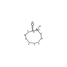 CN1CCCCCCCCC1=O